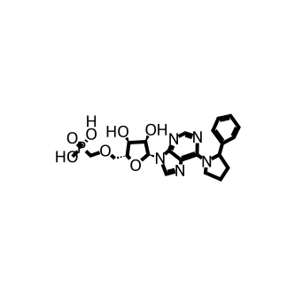 O=P(O)(O)COC[C@H]1O[C@@H](n2cnc3c(N4CCCC4c4ccccc4)ncnc32)[C@H](O)[C@@H]1O